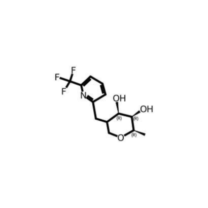 C[C@H]1OCC(Cc2cccc(C(F)(F)F)n2)[C@@H](O)[C@H]1O